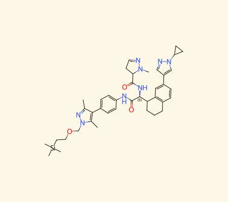 Cc1nn(COCC[Si](C)(C)C)c(C)c1-c1ccc(NC(=O)[C@@H](NC(=O)C2CC=NN2C)C2CCCc3ccc(-c4cnn(C5CC5)c4)cc32)cc1